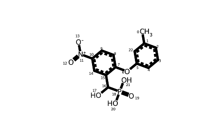 Cc1cccc(Oc2ccc([N+](=O)[O-])cc2C(O)P(=O)(O)O)c1